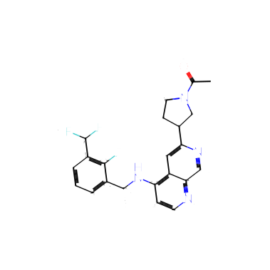 CC(=O)N1CCC(c2cc3c(N[C@H](C)c4cccc(C(F)F)c4F)ccnc3cn2)C1